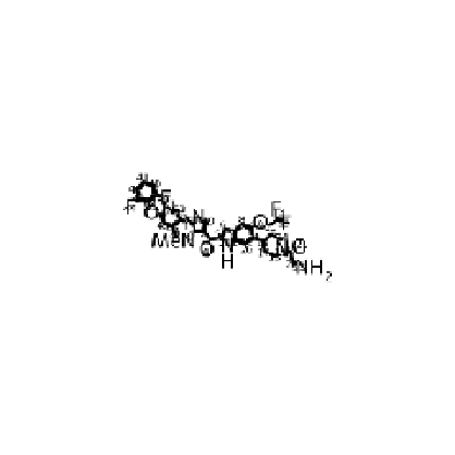 CNc1c(C(=O)c2cc3cc(OCC(F)F)c(C4CCN(C(=O)CN)CC4)cc3[nH]2)cnn1-c1cnc(Oc2c(F)cccc2F)cc1C